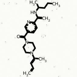 C=C/C=C(\C)N1CCN(C(=O)c2ccc(C(=C)NC(C)CCC)nc2)CC1